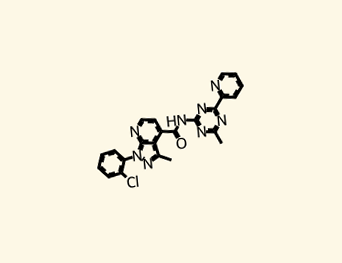 Cc1nc(NC(=O)c2ccnc3c2c(C)nn3-c2ccccc2Cl)nc(-c2ccccn2)n1